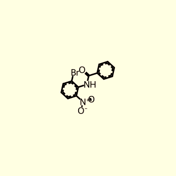 O=C(Nc1c(Br)cccc1[N+](=O)[O-])c1ccccc1